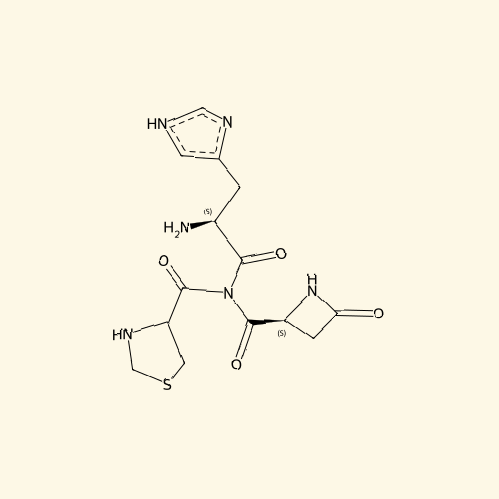 N[C@@H](Cc1c[nH]cn1)C(=O)N(C(=O)C1CSCN1)C(=O)[C@@H]1CC(=O)N1